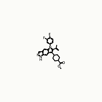 C=C(C)c1c(C2CCC(C(=O)OC)CC2)c2cc3[nH]ncc3cc2n1-c1ccc(F)c(F)c1